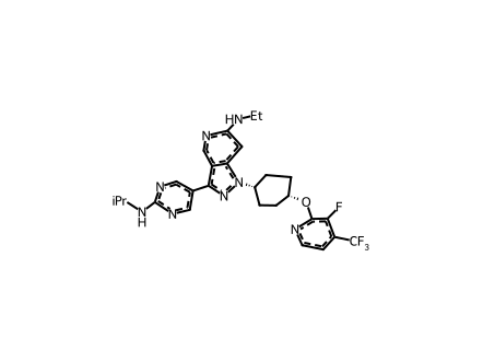 CCNc1cc2c(cn1)c(-c1cnc(NC(C)C)nc1)nn2[C@H]1CC[C@@H](Oc2nccc(C(F)(F)F)c2F)CC1